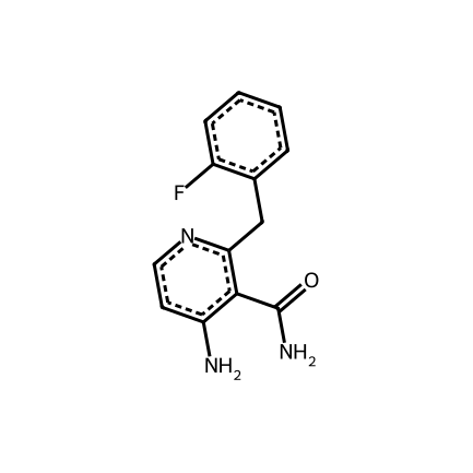 NC(=O)c1c(N)ccnc1Cc1ccccc1F